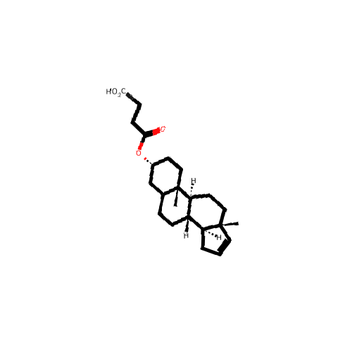 C[C@@]12C=CC[C@H]1[C@@H]1CCC3C[C@H](OC(=O)CCC(=O)O)CC[C@]3(C)[C@H]1CC2